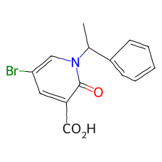 CC(c1ccccc1)n1cc(Br)cc(C(=O)O)c1=O